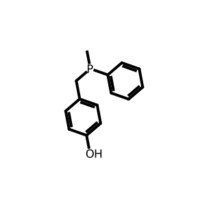 CP(Cc1ccc(O)cc1)c1ccccc1